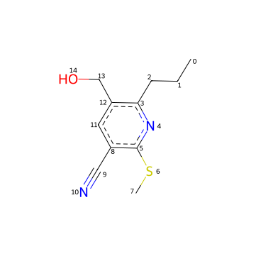 CCCc1nc(SC)c(C#N)cc1CO